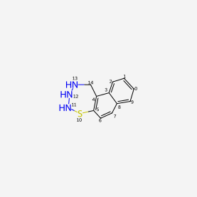 c1ccc2c3c(ccc2c1)SNNNC3